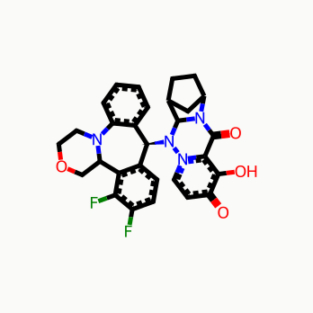 O=C1c2c(O)c(=O)ccn2N([C@@H]2c3ccccc3N3CCOCC3c3c2ccc(F)c3F)C2C3CCC(C3)N12